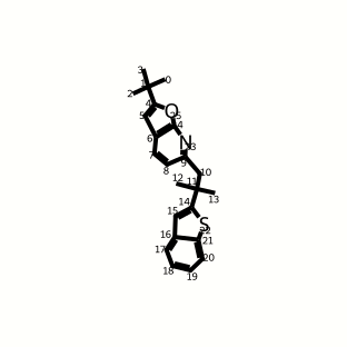 CC(C)(C)c1cc2ccc(CC(C)(C)c3cc4ccccc4s3)nc2o1